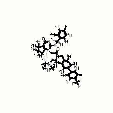 [2H]c1c([2H])c(C([2H])([2H])Sc2nc(=O)c3c(n2CC(=O)N(CCN(C([2H])([2H])C)C([2H])([2H])C)Cc2c([2H])c([2H])c(-c4c([2H])c([2H])c(C(F)(F)F)c(C)c4[2H])c([2H])c2[2H])C([2H])([2H])C([2H])([2H])C3([2H])[2H])c([2H])c([2H])c1F